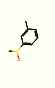 Cc1[c]ccc([S+](C)[O-])c1